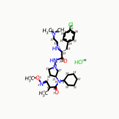 CON=CC(C)C(=O)N(C1CCCCC1)[C@H]1CCN(NC(=O)[C@@H](Cc2ccc(Cl)cc2)NCCN(C)C)C1.Cl